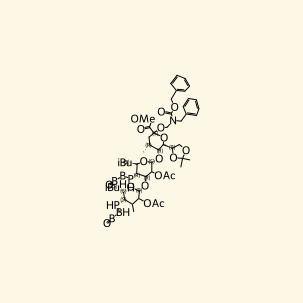 CC[C@H](C)C1O[C@H](O[C@H]2C([C@H]3COC(C)(C)O3)O[C@@](OCN(Cc3ccccc3)C(=O)OCc3ccccc3)(C(=O)OC)C[C@H]2C)C(OC(C)=O)[C@@H](O[C@H]2O[C@@H]([C@@H](C)CC)[C@@H](PBB=O)C(C)C2OC(C)=O)[C@@H]1PBB=O